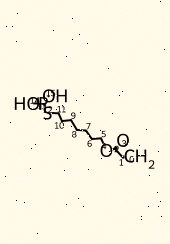 C=CC(=O)OCCCCCCCSP(O)O